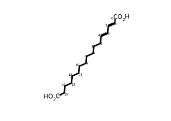 O=C(O)C=CC=CCCCCCCCCCCCC(=O)O